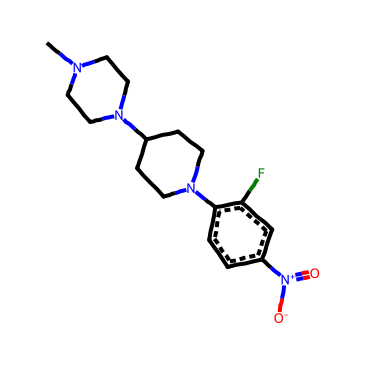 CN1CCN(C2CCN(c3ccc([N+](=O)[O-])cc3F)CC2)CC1